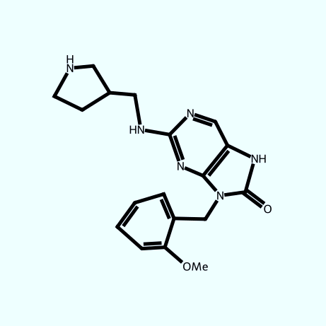 COc1ccccc1Cn1c(=O)[nH]c2cnc(NCC3CCNC3)nc21